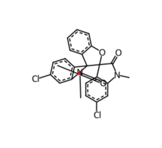 CN1C(=O)C2(Oc3ccccc3C23C(=O)N(C)c2cc(Cl)ccc23)c2ccc(Cl)cc21